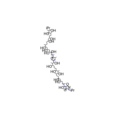 C/C(=C\C(O)C(O)CC(O)CC(O)C(C)CCC(O)CC(O)CCC(C)C(O)C(C)C(O)C(C)C)C(=O)C(C)/C=C(\C)C(O)C(C)C(O)CCCC(O)C(C)C(O)C(C)CCC(O)CC(O)C/C=C(C)/C(O)=C1/C(=O)/C(=C/C(C)C)N(C)C1=O